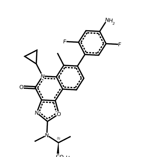 Cc1c(-c2cc(F)c(N)cc2F)ccc2c3oc(N(C)[C@@H](C)C(=O)O)nc3c(=O)n(C3CC3)c12